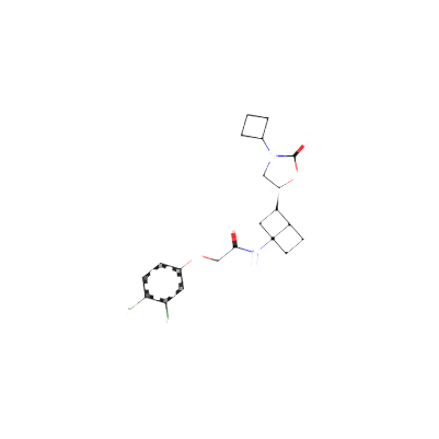 O=C(COc1ccc(Cl)c(F)c1)NC12CCC1C([C@H]1CN(C3CCC3)C(=O)O1)C2